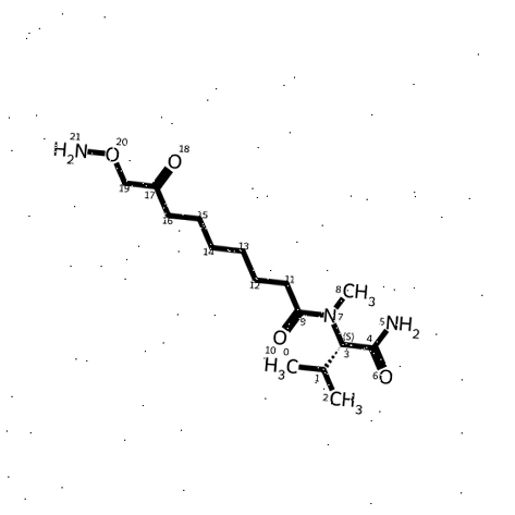 CC(C)[C@@H](C(N)=O)N(C)C(=O)CCCCCCC(=O)CON